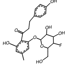 Cc1cc(O)c(C(=O)CCc2ccc(O)cc2)c(OC2OC(CO)C(F)C(O)C2O)c1